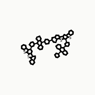 c1ccc(-c2c3ccccc3c(-c3cccc(-c4c5sc6ccccc6c5cc5c4sc4c6ccc(-c7ccc(-c8c9ccccc9c(-c9cccc(-c%10cc%11c%12ccc%13ccccc%13c%12sc%11c%11sc%12ccccc%12c%10%11)c9)c9ccccc89)cc7)cc6ccc54)c3)c3ccccc23)cc1